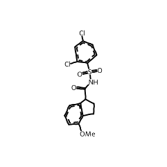 COc1cccc2c1CCC2C(=O)NS(=O)(=O)c1ccc(Cl)cc1Cl